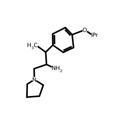 CC(C)Oc1ccc(C(C)C(N)CN2CCCC2)cc1